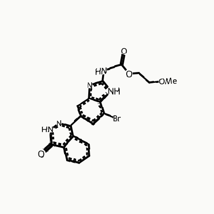 COCCOC(=O)Nc1nc2cc(-c3n[nH]c(=O)c4ccccc34)cc(Br)c2[nH]1